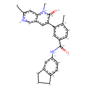 Cc1cc2c(cn1)cc(-c1cc(C(=O)Nc3ccc4c(c3)CCC4)ccc1C)c(=O)n2C